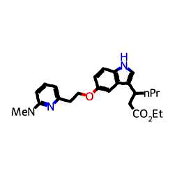 CCCC(CC(=O)OCC)c1c[nH]c2ccc(OCCc3cccc(NC)n3)cc12